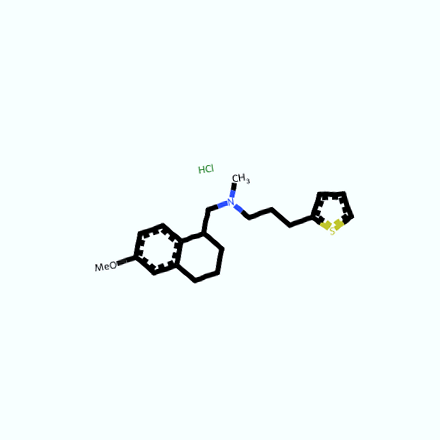 COc1ccc2c(c1)CCCC2CN(C)CCCc1cccs1.Cl